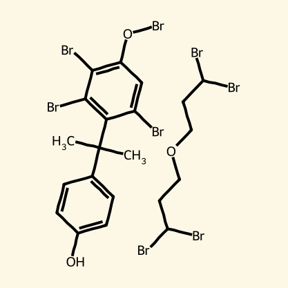 BrC(Br)CCOCCC(Br)Br.CC(C)(c1ccc(O)cc1)c1c(Br)cc(OBr)c(Br)c1Br